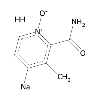 Cc1[c]([Na])cc[n+]([O-])c1C(N)=O.[HH]